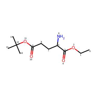 CCOC(=O)C(N)CCC(=O)OC(C)(C)C